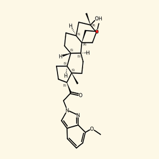 COC[C@]12CC[C@@](C)(O)C[C@@H]1CC[C@H]1[C@@H]3CC[C@H](C(=O)Cn4cc5cccc(OC)c5n4)[C@@]3(C)CC[C@@H]12